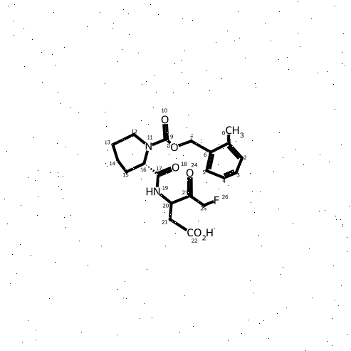 Cc1ccccc1COC(=O)N1CCCC[C@H]1C(=O)NC(CC(=O)O)C(=O)CF